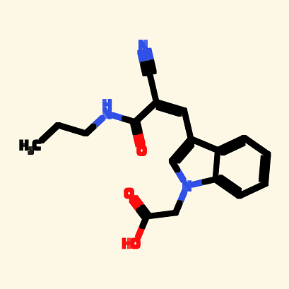 CCCNC(=O)C(C#N)=Cc1cn(CC(=O)O)c2ccccc12